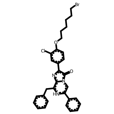 O=c1c(-c2ccc(OCCCCCCBr)c(Cl)c2)nc2c(Cc3ccccc3)[nH]c(-c3ccccc3)cn1-2